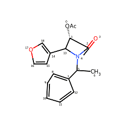 CC(=O)O[C@@H]1C(=O)N(C(C)c2ccccc2)C1c1ccoc1